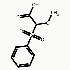 COC(C(=O)O)S(=O)(=O)c1ccccc1